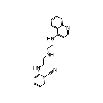 N#Cc1ccccc1NCCNCCNc1ccnc2ccccc12